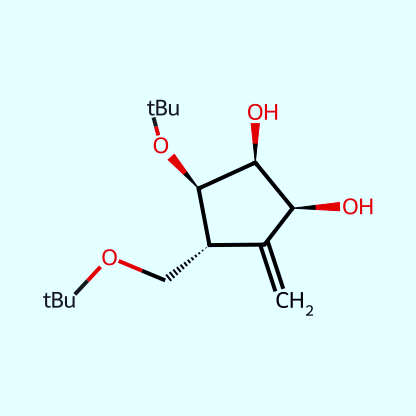 C=C1[C@H](O)[C@H](O)[C@H](OC(C)(C)C)[C@H]1COC(C)(C)C